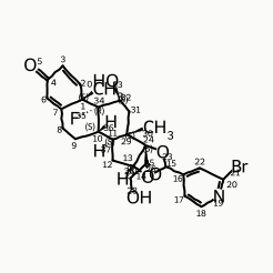 C[C@]12C=CC(=O)C=C1CC[C@H]1[C@@H]3C[C@H]4OC(c5ccnc(Br)c5)O[C@@]4(C(=O)CO)[C@@]3(C)C[C@H](O)[C@@]12F